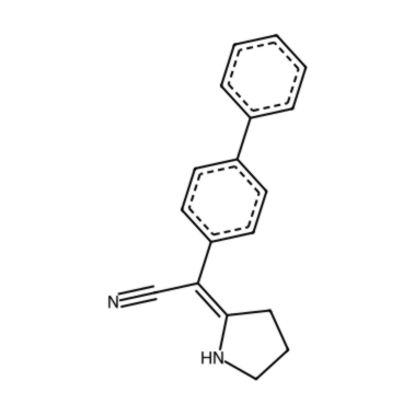 N#C/C(=C1/CCCN1)c1ccc(-c2ccccc2)cc1